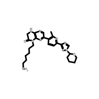 Cc1nc(-c2ncn(C3CCCCO3)n2)ccc1-c1cnc2c(n1)N(CCCCCCN)C(=O)CN2